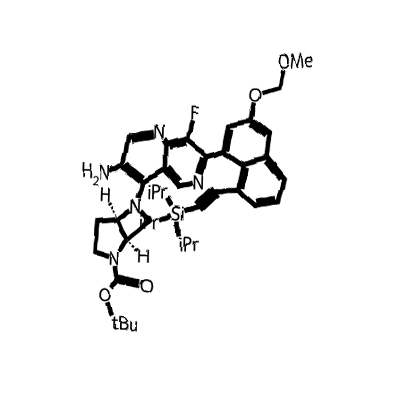 COCOc1cc(-c2ncc3c(N4C[C@@H]5[C@H]4CCN5C(=O)OC(C)(C)C)c(N)cnc3c2F)c2c(C#C[Si](C(C)C)(C(C)C)C(C)C)cccc2c1